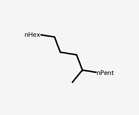 CCCCCCCCC[C](C)CCCCC